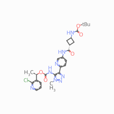 C[C@@H](OC(=O)Nc1c(-c2ccc(NC(=O)[C@H]3C[C@H](NC(=O)OC(C)(C)C)C3)cn2)nnn1C)c1cccnc1Cl